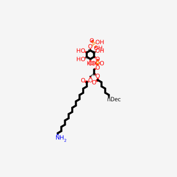 CCCCCCCCCCCCCCCC(=O)O[C@H](COC(=O)CCCCCCCCCCCCCCCCN)COP(=O)(O)OC1C(O)[C@@H](O)C(O)[C@@H](OP(=O)(O)O)[C@H]1O